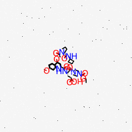 CCOC(=O)N1CCN(C(=O)[C@H](CCC(=O)O)NC(=O)c2cc(OCC(=O)N3CCC[C@H]3C(=O)NC3CCC3)c3ccc(OC)cc3n2)CC1